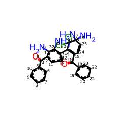 Nc1c(C(=O)c2ccccc2)ccc(C2=C(C(=O)c3ccccc3)C=CC(N)(N)C2(Cl)Cl)c1N